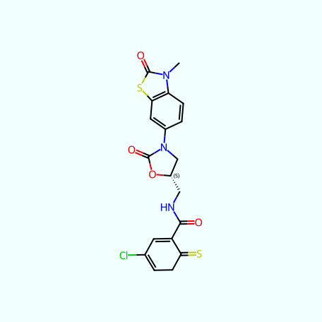 Cn1c(=O)sc2cc(N3C[C@H](CNC(=O)C4=CC(Cl)=CCC4=S)OC3=O)ccc21